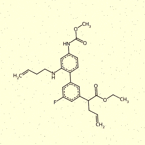 C=CCCNc1cc(NC(=O)OC)ccc1-c1cc(F)cc(C(CC=C)C(=O)OCC)c1